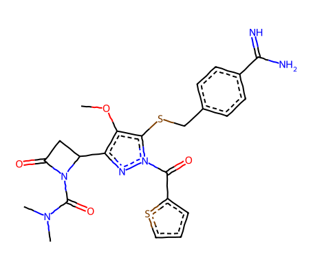 COc1c(C2CC(=O)N2C(=O)N(C)C)nn(C(=O)c2cccs2)c1SCc1ccc(C(=N)N)cc1